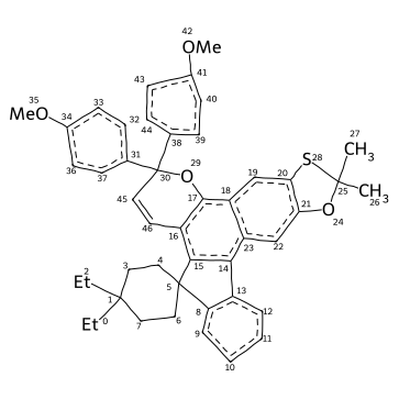 CCC1(CC)CCC2(CC1)c1ccccc1-c1c2c2c(c3cc4c(cc13)OC(C)(C)S4)OC(c1ccc(OC)cc1)(c1ccc(OC)cc1)C=C2